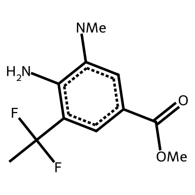 CNc1cc(C(=O)OC)cc(C(C)(F)F)c1N